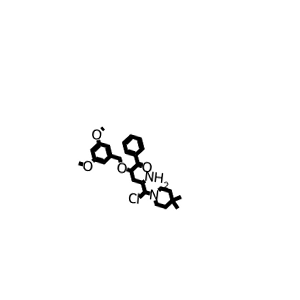 COc1cc(COC(CC(N)C(Cl)N2CCC(C)(C)CC2)C(=O)c2ccccc2)cc(OC)c1